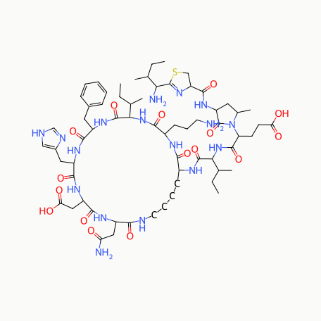 CCC(C)C(N)C1=NC(C(=O)NC2CC(C)N(C(CCC(=O)O)C(=O)NC(C(=O)NC3CCCCNC(=O)C(CC(N)=O)NC(=O)C(CC(=O)O)NC(=O)C(Cc4c[nH]cn4)NC(=O)C(Cc4ccccc4)NC(=O)C(C(C)CC)NC(=O)C(CCCN)NC3=O)C(C)CC)C2=O)CS1